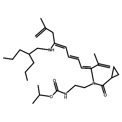 C=C(C)C/C(=C/C=C/C=C(\C(=C)C)N(CCNC(=O)OC(C)C)C(=O)C1CC1)NCC(CCC)CCC